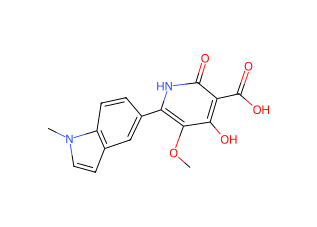 COc1c(-c2ccc3c(ccn3C)c2)[nH]c(=O)c(C(=O)O)c1O